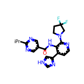 CC(C)c1ncc(C(=O)Nc2c(-c3c[nH]cn3)ccnc2N2CCC(F)(F)C2)cn1